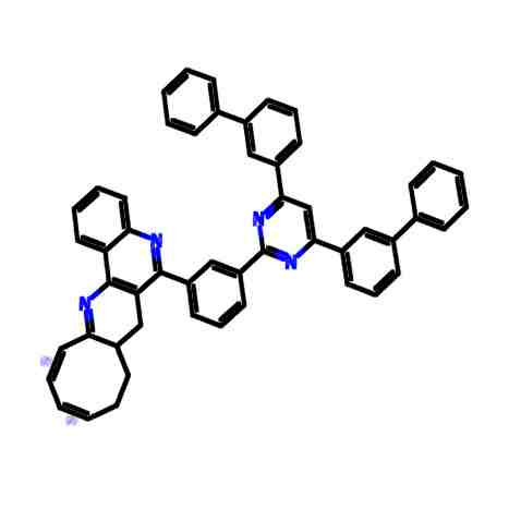 C1=C\CCC2Cc3c(-c4cccc(-c5nc(-c6cccc(-c7ccccc7)c6)cc(-c6cccc(-c7ccccc7)c6)n5)c4)nc4ccccc4c3N=C2\C=C/1